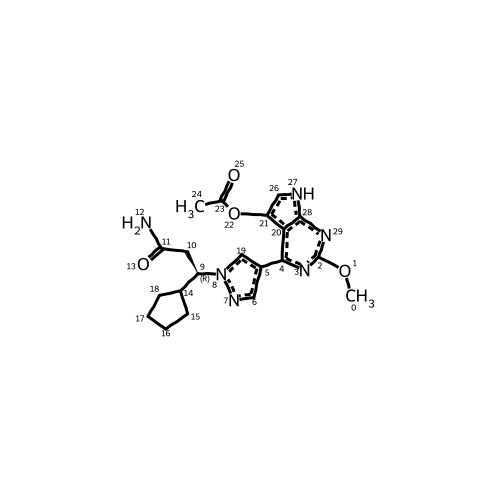 COc1nc(-c2cnn([C@H](CC(N)=O)C3CCCC3)c2)c2c(OC(C)=O)c[nH]c2n1